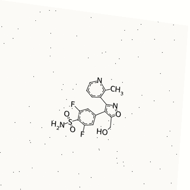 Cc1ncccc1-c1noc(CO)c1-c1cc(F)c(S(N)(=O)=O)c(F)c1